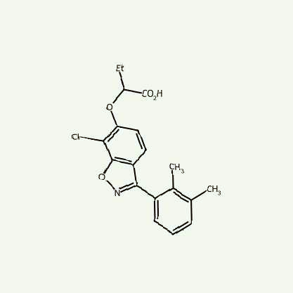 CCC(Oc1ccc2c(-c3cccc(C)c3C)noc2c1Cl)C(=O)O